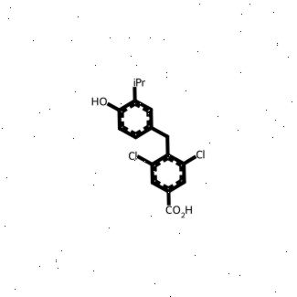 CC(C)c1cc(Cc2c(Cl)cc(C(=O)O)cc2Cl)ccc1O